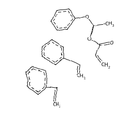 C=CC(=O)OC(C)Oc1ccccc1.C=Cc1ccccc1.C=Cc1ccccc1